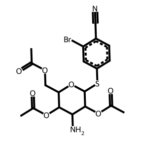 CC(=O)OCC1OC(Sc2ccc(C#N)c(Br)c2)C(OC(C)=O)C(N)C1OC(C)=O